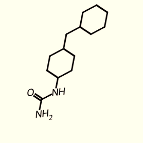 NC(=O)NC1CCC(CC2CCCCC2)CC1